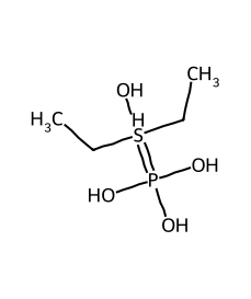 CC[SH](O)(CC)=P(O)(O)O